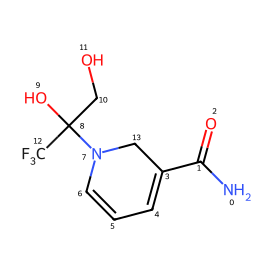 NC(=O)C1=CC=CN(C(O)(CO)C(F)(F)F)C1